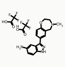 CN1CCOc2ccc(-c3n[nH]c4ccc(N)cc34)cc2C1.O=C(O)C(F)(F)F.O=C(O)C(F)(F)F